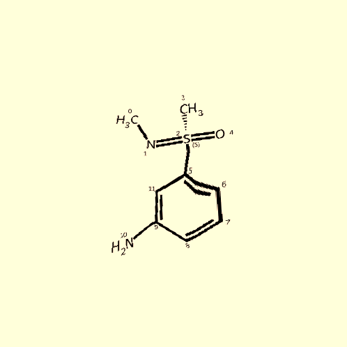 CN=[S@@](C)(=O)c1cccc(N)c1